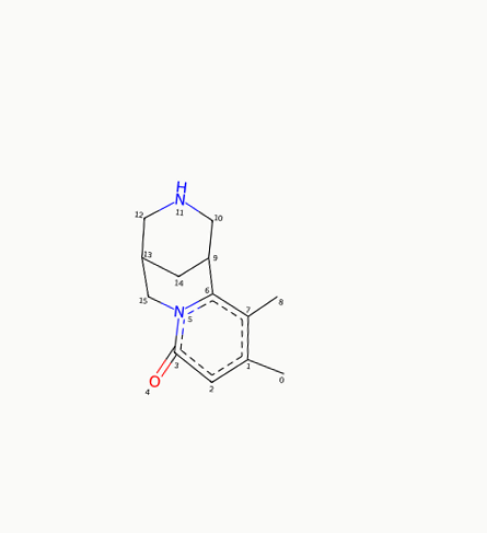 Cc1cc(=O)n2c(c1C)C1CNCC(C1)C2